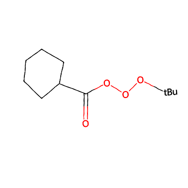 CC(C)(C)OOOC(=O)C1CCCCC1